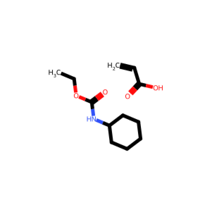 C=CC(=O)O.CCOC(=O)NC1CCCCC1